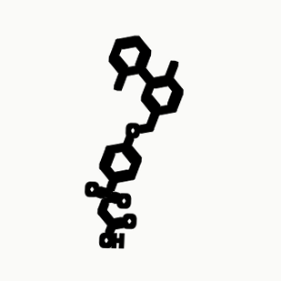 Cc1ccccc1-c1cc(COc2ccc(S(=O)(=O)CC(=O)O)cc2)ccc1C